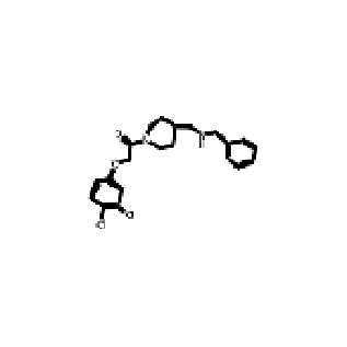 O=C(COc1ccc(Cl)c(Cl)c1)N1CCC(CNCc2ccccc2)CC1